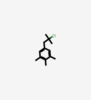 Cc1cc(CC(C)(C)Cl)cc(C)c1C